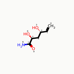 C=C[C@@H](O)C[C@H](O)C(N)=O